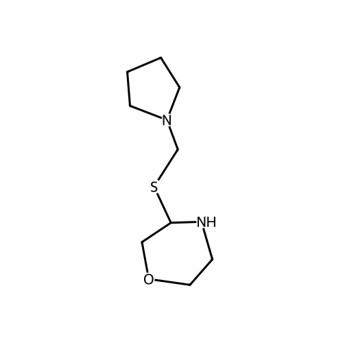 C1CCN(CSC2COCCN2)C1